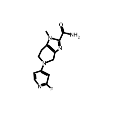 Cn1c(C(N)=O)nc2c1CCN(c1ccnc(F)c1)C2